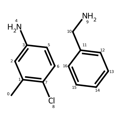 Cc1cc(N)ccc1Cl.NCc1ccccc1